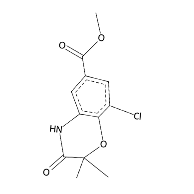 COC(=O)c1cc(Cl)c2c(c1)NC(=O)C(C)(C)O2